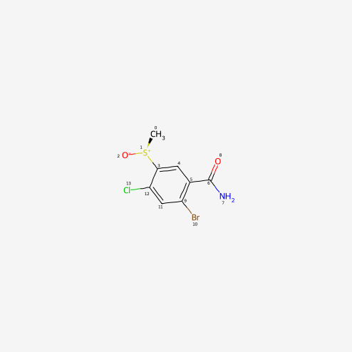 C[S@+]([O-])c1cc(C(N)=O)c(Br)cc1Cl